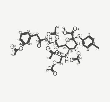 COC(=O)[C@]1(Sc2ccc(C)cc2)C[C@H](OC(C)=O)[C@@H](NC(=O)COC(C)=O)[C@H]([C@H](OC(C)=O)[C@@H](CNC(=O)Cc2cccc(OC(C)=O)c2)OC(C)=O)O1